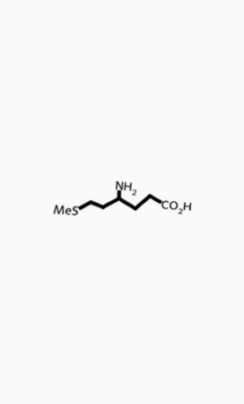 CSCCC(N)CCC(=O)O